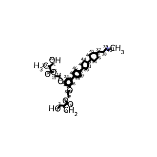 C=C(CO)C(=O)OCCOc1cc(OCCOC(=O)C(C)CO)cc(-c2ccc(C3=CCC(C4CCC(CC/C=C/C)CC4)CC3)cc2)c1